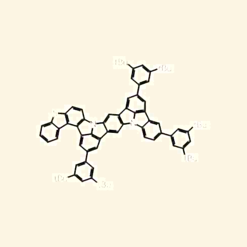 CC(C)(C)c1cc(-c2ccc3c(c2)c2cc(-c4cc(C(C)(C)C)cc(C(C)(C)C)c4)cc4c5cc6c(cc5n3c24)c2cc(-c3cc(C(C)(C)C)cc(C(C)(C)C)c3)cc3c4c5c(ccc4n6c23)sc2ccccc25)cc(C(C)(C)C)c1